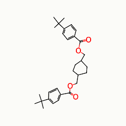 CC(C)(C)c1ccc(C(=O)OCC2CCC(COC(=O)c3ccc(C(C)(C)C)cc3)CC2)cc1